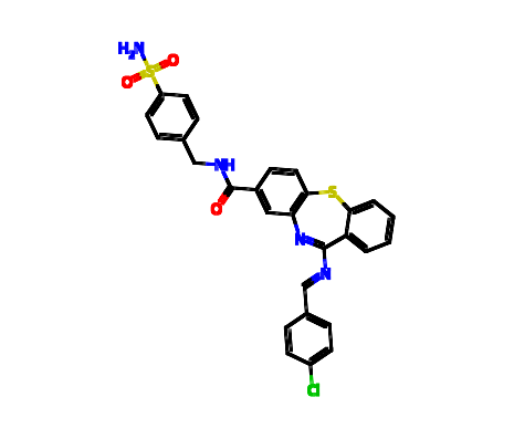 NS(=O)(=O)c1ccc(CNC(=O)c2ccc3c(c2)N=C(/N=C/c2ccc(Cl)cc2)c2ccccc2S3)cc1